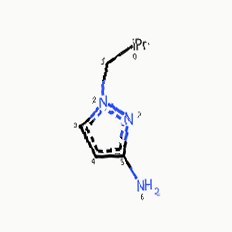 C[C](C)Cn1ccc(N)n1